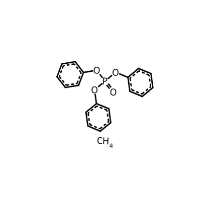 C.O=P(Oc1ccccc1)(Oc1ccccc1)Oc1ccccc1